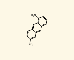 Cc1ccc2cc3c(N)cccc3cc2c1